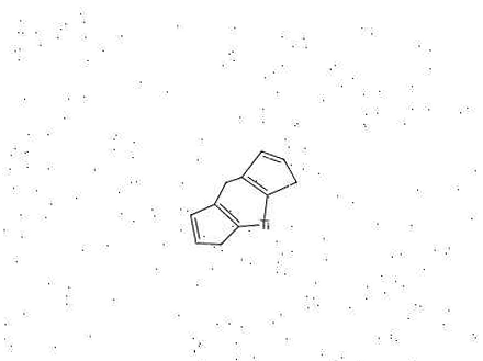 C1=CC2=[C](C1)[Ti][C]1=C(C=CC1)C2